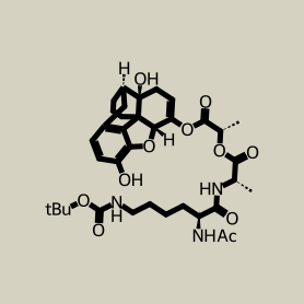 CC(=O)N[C@@H](CCCCNC(=O)OC(C)(C)C)C(=O)N[C@@H](C)C(=O)O[C@@H](C)C(=O)OC1=CC[C@@]2(O)[C@@H]3CCCC24c2c(ccc(O)c2O[C@@H]14)C3